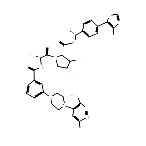 Cc1ncsc1-c1ccc([C@H](C)NC(=O)[C@@H]2C(N)[C@H](O)CN2C(=O)[C@@H](NC(=O)c2cccc(N3CCN(c4cc(Cl)nnc4N)CC3)c2)C(C)(C)C)cc1